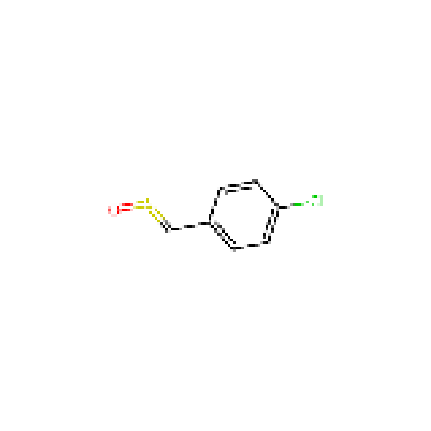 O=S=[C]c1ccc(Cl)cc1